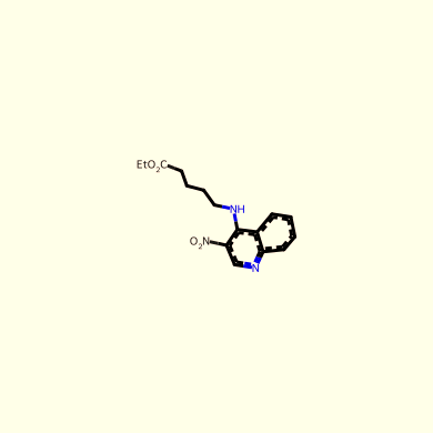 CCOC(=O)CCCCNc1c([N+](=O)[O-])cnc2ccccc12